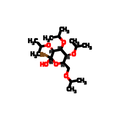 CC(C)OC[C@H]1O[C@](O)(Br)[C@H](OC(C)C)[C@@H](OC(C)C)[C@@H]1OC(C)C